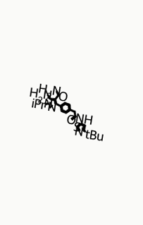 CC(C)n1nc(-c2ccc(CC(=O)Nc3cc(C(C)(C)C)ns3)cc2)c(C(N)=O)c1N